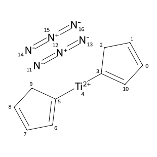 C1=CC[C]([Ti+2][C]2=CC=CC2)=C1.[N-]=[N+]=[N-].[N-]=[N+]=[N-]